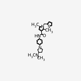 Cc1cc(C(=O)Nc2ccc(N3CCC(N(C)C)C3)cc2)c(C)n1Cc1cccs1